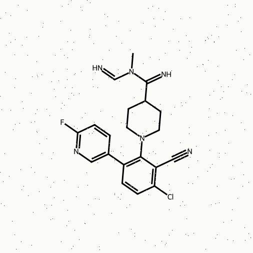 CN(C=N)C(=N)C1CCN(c2c(-c3ccc(F)nc3)ccc(Cl)c2C#N)CC1